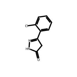 O=C1CC(c2ccccc2Cl)=NN1